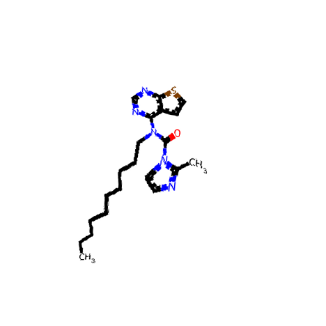 CCCCCCCCCCN(C(=O)n1ccnc1C)c1ncnc2sccc12